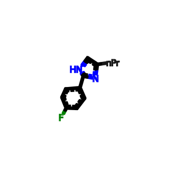 CCCc1c[nH]c(-c2ccc(F)cc2)n1